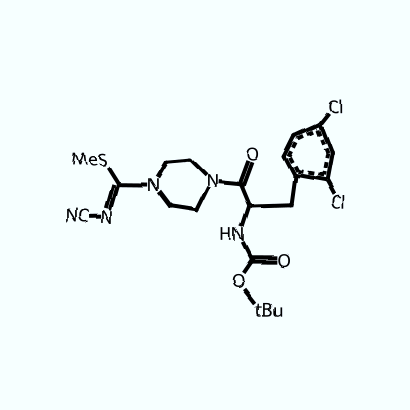 CSC(=NC#N)N1CCN(C(=O)C(Cc2ccc(Cl)cc2Cl)NC(=O)OC(C)(C)C)CC1